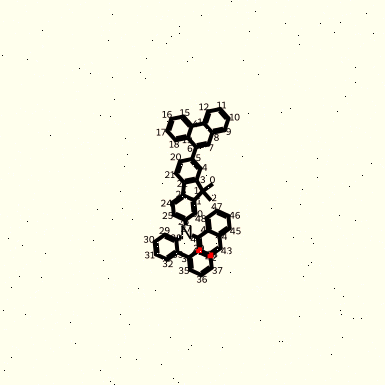 CC1(C)c2cc(-c3cc4ccccc4c4ccccc34)ccc2-c2ccc(N(c3ccccc3-c3ccccc3)c3cccc4ccccc34)cc21